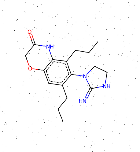 CCCc1cc2c(c(CCC)c1N1CCNC1=N)NC(=O)CO2